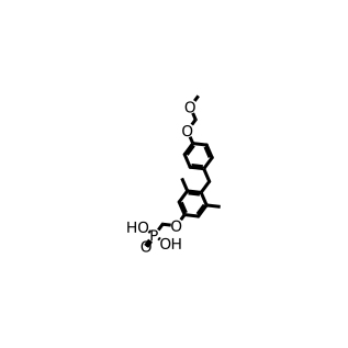 COCOc1ccc(Cc2c(C)cc(OCP(=O)(O)O)cc2C)cc1